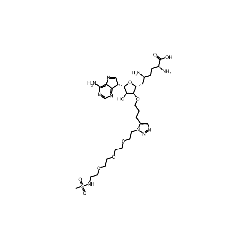 CS(=O)(=O)NCCOCCOCCOCCn1nncc1CCCO[C@H]1[C@@H](O)[C@H](C2C=Nc3c(N)ncnc32)O[C@@H]1C[C@@H](N)CC[C@H](N)C(=O)O